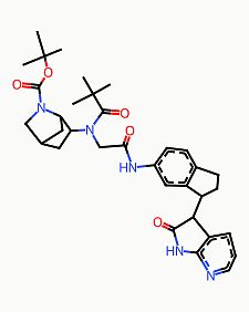 CC(C)(C)OC(=O)N1CC2CC1C(N(CC(=O)Nc1ccc3c(c1)C(C1C(=O)Nc4ncccc41)CC3)C(=O)C(C)(C)C)C2